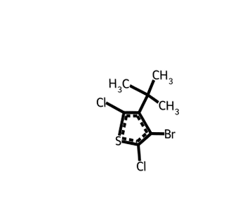 CC(C)(C)c1c(Cl)sc(Cl)c1Br